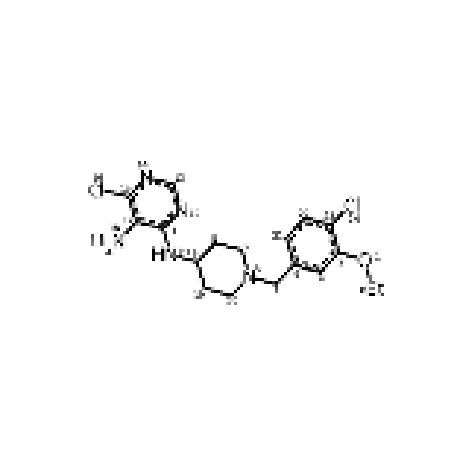 CCOc1cc(CN2CCC(Nc3ncnc(Cl)c3N)CC2)ccc1Cl